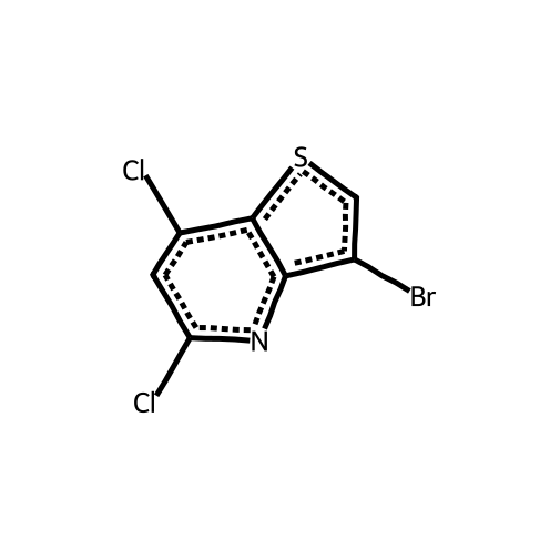 Clc1cc(Cl)c2scc(Br)c2n1